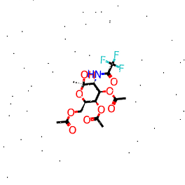 CC(=O)OC[C@H]1O[C@@](C)(O)[C@H](NC(=O)C(F)(F)F)[C@@H](OC(C)=O)[C@H]1OC(C)=O